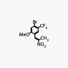 COc1cc(Br)c(C(F)(F)F)cc1/C=C(\C)[N+](=O)[O-]